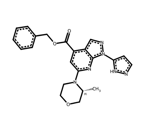 C[C@@H]1COCCN1c1cc(C(=O)OCc2ccccc2)c2cnn(-c3ccn[nH]3)c2n1